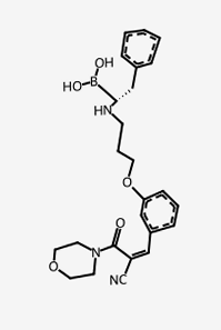 N#CC(=Cc1cccc(OCCCN[C@@H](Cc2ccccc2)B(O)O)c1)C(=O)N1CCOCC1